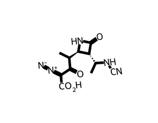 CC(C(=O)C(=[N+]=[N-])C(=O)O)[C@H]1NC(=O)[C@@H]1C(C)NC#N